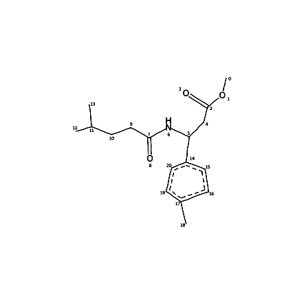 COC(=O)CC(NC(=O)CCC(C)C)c1ccc(C)cc1